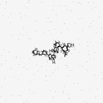 Oc1cc(F)cc(-c2ccnc3[nH]c(-c4n[nH]c5ncc(-c6cncc(CN7CCCCC7)c6)cc45)nc23)c1